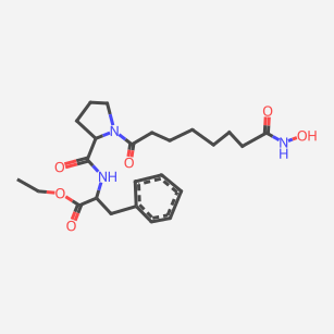 CCOC(=O)C(Cc1ccccc1)NC(=O)C1CCCN1C(=O)CCCCCCC(=O)NO